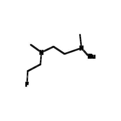 CCC(C)N(C)CCN(C)CCF